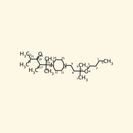 CCCCOC(C)(C)CCN1CCN(C(C)(C)C(C)C(=O)C(C)C)CC1